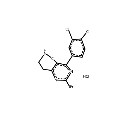 CC(C)c1nc2c(c(-c3ccc(Cl)c(Cl)c3)n1)CNCC2.Cl